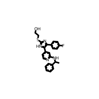 CC(Nc1cc(-c2[nH]c(SCCO)nc2-c2ccc(F)cc2)ccn1)c1ccccc1